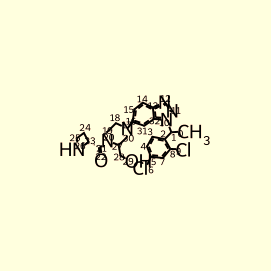 CC(c1ccc(Cl)cc1Cl)n1nnc2ccc(N3CCN(C(=O)[C@H]4CCN4)C(CO)C3)cc21